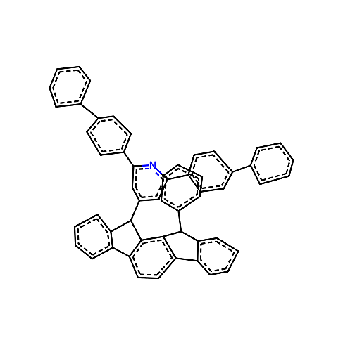 c1ccc(-c2ccc(-c3cc(C4c5ccccc5-c5ccc6c(c54)C(c4ccccc4)c4ccccc4-6)cc(-c4ccc(-c5ccccc5)cc4)n3)cc2)cc1